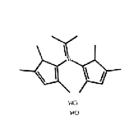 CC1=CC(C)=[C]([Ti]([C]2=C(C)C=C(C)C2C)=[C](C)C)C1C.Cl.Cl